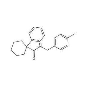 Cc1ccc(CNC(=O)C2(c3ccccc3)CCCCC2)cc1